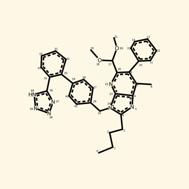 CCCCc1nc2c(C)c(-c3ccccc3)c(C(OC)OC)nc2n1Cc1ccc(-c2ccccc2-c2nnn[nH]2)cc1